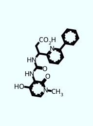 Cn1ccc(O)c(NC(=O)NC(CC(=O)O)c2cccc(-c3ccccc3)n2)c1=O